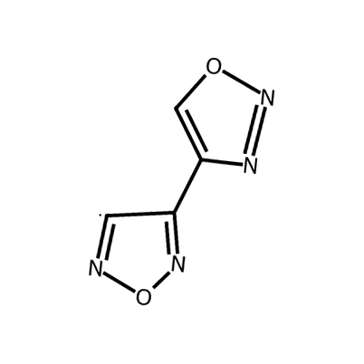 [c]1nonc1-c1conn1